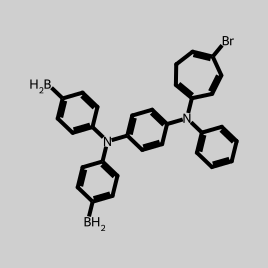 Bc1ccc(N(c2ccc(B)cc2)c2ccc(N(C3=CCC=C(Br)C=C3)c3ccccc3)cc2)cc1